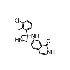 Cc1c(Cl)cccc1C1(Nc2ccc3cc[nH]c(=O)c3c2)CNC1